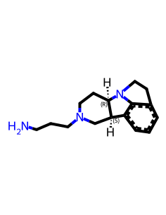 NCCCN1CC[C@@H]2[C@H](C1)c1cccc3c1N2CC3